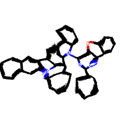 c1ccc(-c2nc(-n3c4ccccc4c4cc5c6cc7ccccc7cc6n6c7ccccc7c(c43)c56)c3oc4ccccc4c3n2)cc1